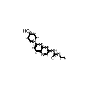 CCNC(=O)Nc1cnc2ccc(N3CCC(O)CC3)nc2n1